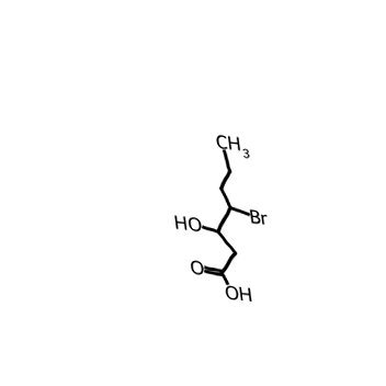 CCCC(Br)C(O)CC(=O)O